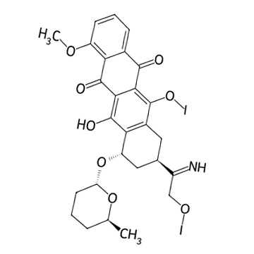 COc1cccc2c1C(=O)c1c(O)c3c(c(OI)c1C2=O)C[C@@H](C(=N)COI)C[C@@H]3O[C@H]1CCC[C@H](C)O1